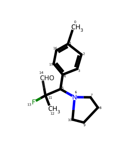 Cc1ccc(C(N2CCCC2)C(C)(F)C=O)cc1